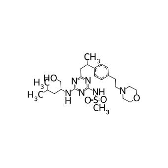 CC(C)CC(CO)Nc1nc(CC(C)c2ccc(CCN3CCOCC3)cc2)nc(NS(C)(=O)=O)n1